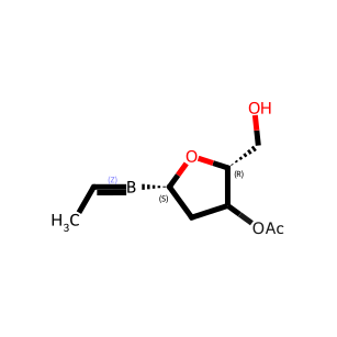 C/C=B\[C@H]1CC(OC(C)=O)[C@@H](CO)O1